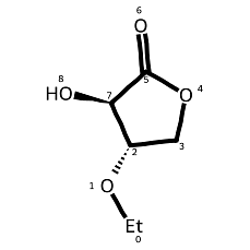 CCO[C@H]1COC(=O)[C@@H]1O